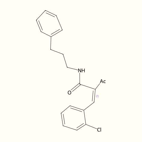 CC(=O)/C(=C/c1ccccc1Cl)C(=O)NCCCc1ccccc1